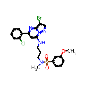 COc1cccc(S(=O)(=O)N(C)CCCNc2cc(-c3ccccc3Cl)nc3c(Br)cnn23)c1